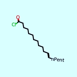 CCCCCC=CCCCCCCCCCCC(=O)Cl